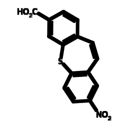 O=C(O)c1ccc2c(c1)Sc1ccc([N+](=O)[O-])cc1C=C2